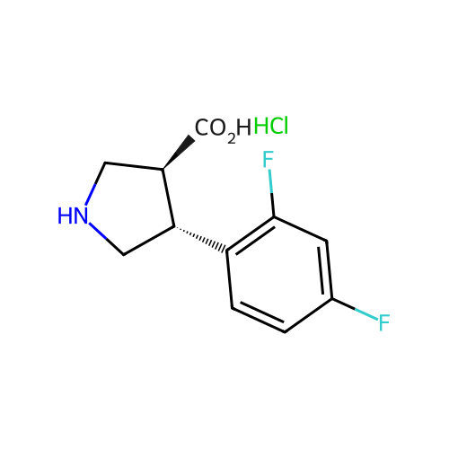 Cl.O=C(O)[C@@H]1CNC[C@H]1c1ccc(F)cc1F